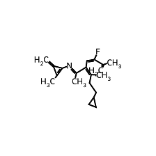 C=C1C(C)=C1/N=C(C)/C(/C=C(/F)C(=C)C)=C(/C)CCC1CC1